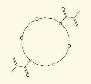 C=C(C)C(=O)N1CCOCCOCCN(C(=O)C(=C)C)CCOCCOCC1